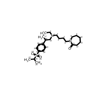 CCN(CCCCN1CCCCCC1=O)CC(C)c1ccc(S(=O)(=O)C(C)C)cc1